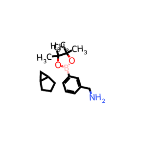 C1CC2CC2C1.CC1(C)OB(c2cccc(CN)c2)OC1(C)C